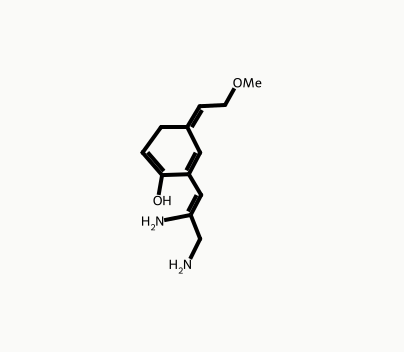 COCC=C1C=C(C=C(N)CN)C(O)=CC1